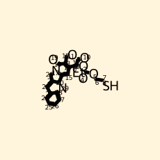 CC[C@@]1(OC(=O)OCCS)C(=O)OCc2c1cc1n(c2=O)Cc2cc3ccccc3nc2-1